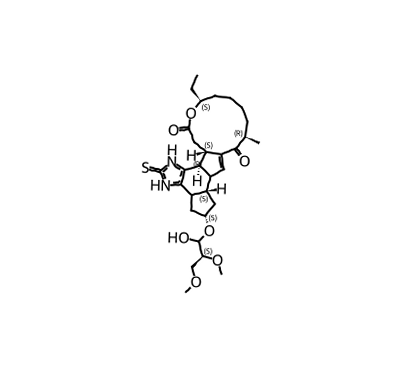 CC[C@H]1CCCC[C@@H](C)C(=O)C2=CC3[C@@H]4C[C@H](OC(O)[C@H](COC)OC)CC4c4[nH]c(=S)[nH]c4[C@H]3[C@@H]2CC(=O)O1